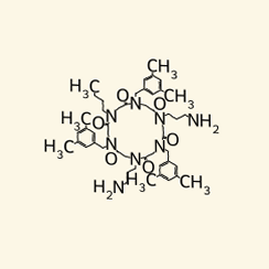 CCCCN1CC(=O)N(Cc2cc(C)cc(C)c2)CC(=O)N(CCCN)CC(=O)N(Cc2cc(C)cc(C)c2)CC(=O)N(CCCN)CC(=O)N(Cc2cc(C)cc(C)c2)CC1=O